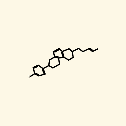 C/C=C/CCC1CCc2c(ccc3c2CCC(c2ccc(Cl)cc2)C3)C1